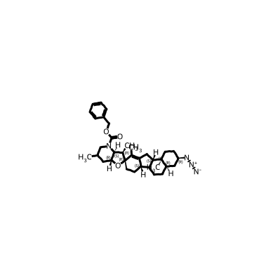 CC1=C2C[C@H]3C(CC[C@@H]4C[C@H](N=[N+]=[N-])CC[C@@]43C)[C@@H]2CC[C@]12O[C@@H]1CC(C)CN(C(=O)OCc3ccccc3)[C@H]1[C@H]2C